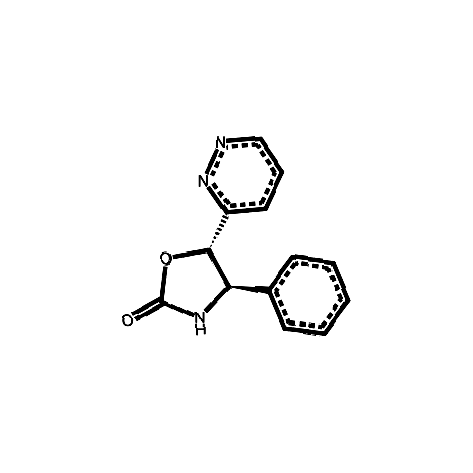 O=C1N[C@H](c2ccccc2)[C@@H](c2cccnn2)O1